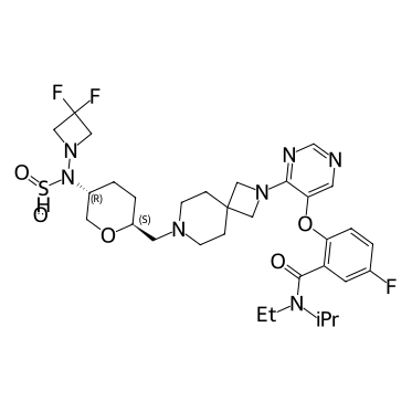 CCN(C(=O)c1cc(F)ccc1Oc1cncnc1N1CC2(CCN(C[C@@H]3CC[C@@H](N(N4CC(F)(F)C4)[SH](=O)=O)CO3)CC2)C1)C(C)C